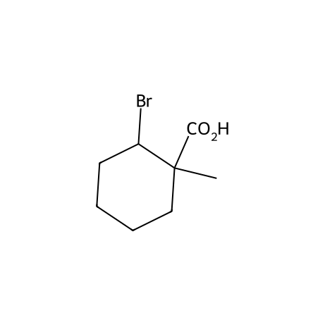 CC1(C(=O)O)CCCCC1Br